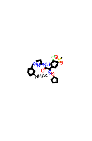 CC(=O)Nc1cccc(Cn2ccc(NC(=O)/C(=N/OC3CCCC3)c3ccc(S(C)(=O)=O)c(Cl)c3)n2)c1